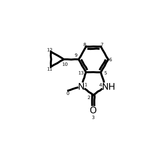 Cn1c(=O)[nH]c2cccc(C3CC3)c21